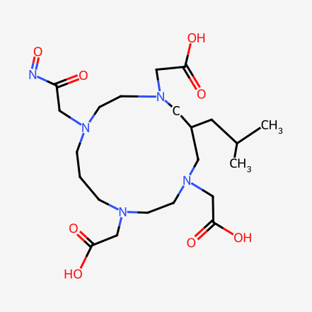 CC(C)CC1CN(CC(=O)O)CCN(CC(=O)O)CCCN(CC(=O)N=O)CCN(CC(=O)O)C1